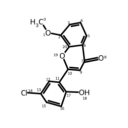 COc1cccc2c(=O)cc(-c3cc(Cl)ccc3O)oc12